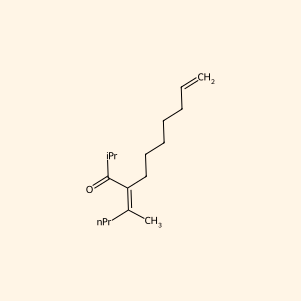 C=CCCCCC/C(C(=O)C(C)C)=C(\C)CCC